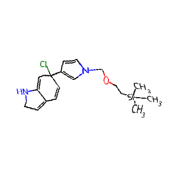 C[Si](C)(C)CCOCn1ccc(C2(Cl)C=CC3=CCNC3=C2)c1